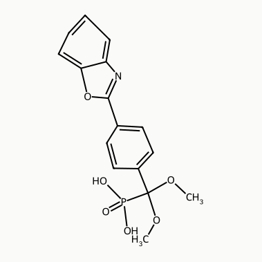 COC(OC)(c1ccc(-c2nc3ccccc3o2)cc1)P(=O)(O)O